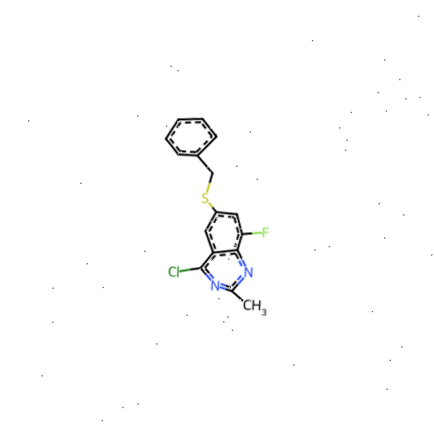 Cc1nc(Cl)c2cc(SCc3ccccc3)cc(F)c2n1